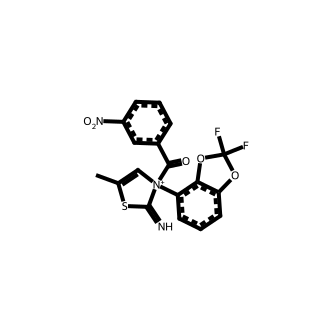 CC1=C[N+](C(=O)c2cccc([N+](=O)[O-])c2)(c2cccc3c2OC(F)(F)O3)C(=N)S1